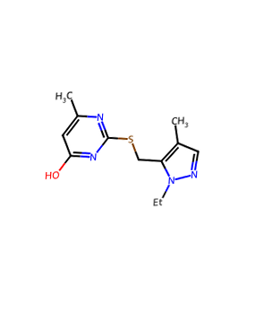 CCn1ncc(C)c1CSc1nc(C)cc(O)n1